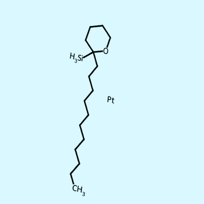 CCCCCCCCCCCC1([SiH3])CCCCO1.[Pt]